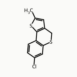 Cc1cc2c(s1)-c1ccc(Cl)cc1SC2